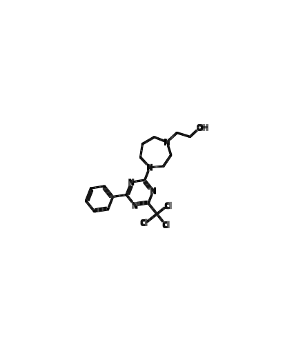 OCCN1CCCN(c2nc(-c3ccccc3)nc(C(Cl)(Cl)Cl)n2)CC1